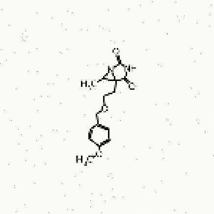 COc1ccc(COCCC23C(=O)NC(=O)N2C3C)cc1